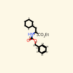 CCOC(=O)C(CC1CCCCC1)NC(=O)OCc1ccccc1